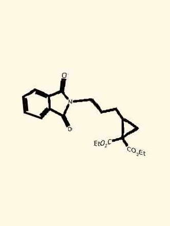 CCOC(=O)C1(C(=O)OCC)CC1CCCN1C(=O)c2ccccc2C1=O